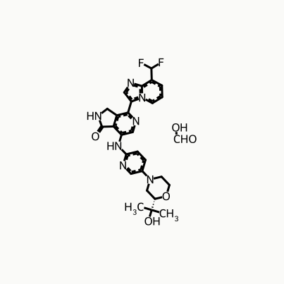 CC(C)(O)[C@@H]1CN(c2ccc(Nc3cnc(-c4cnc5c(C(F)F)cccn45)c4c3C(=O)NC4)nc2)CCO1.O=CO